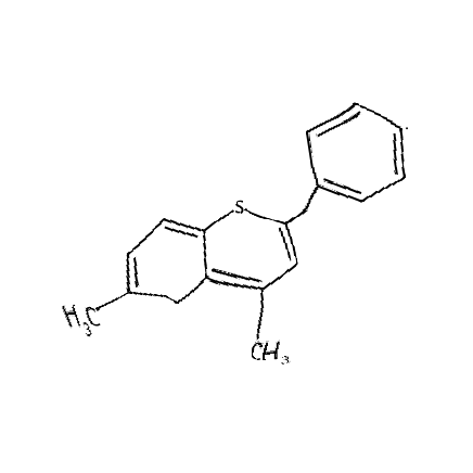 CC1=CC=C2SC(c3cc[c]cc3)=CC(C)=C2C1